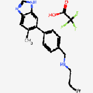 Cc1cc2nc[nH]c2cc1-c1ccc(CNCCC(C)C)cc1.O=C(O)C(F)(F)F